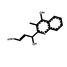 CCCCCC/C=C/C(O)c1nc2ccccc2c(OC(C)=O)c1C